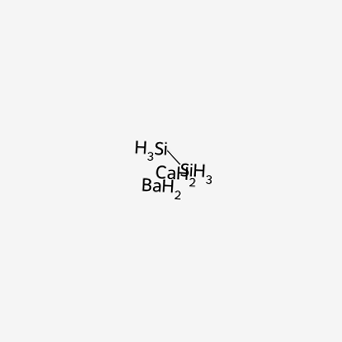 [BaH2].[CaH2].[SiH3][SiH3]